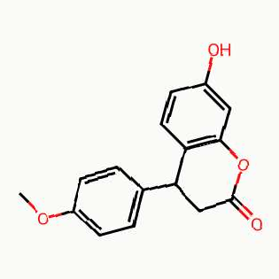 COc1ccc(C2CC(=O)Oc3cc(O)ccc32)cc1